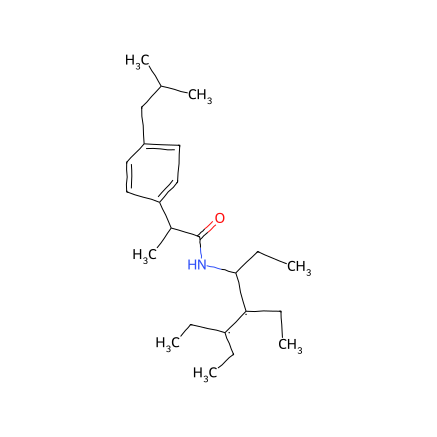 CC[C](CC)[C](CC)C(CC)NC(=O)C(C)c1ccc(CC(C)C)cc1